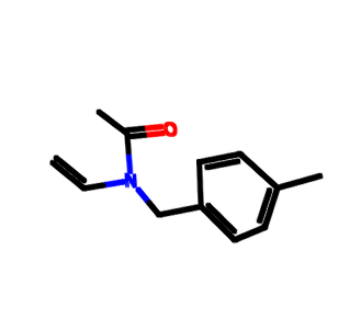 C=CN(Cc1ccc(C)cc1)C(C)=O